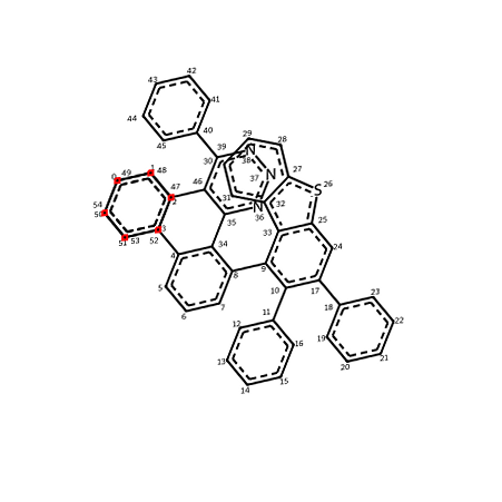 c1ccc(-c2cccc(-c3c(-c4ccccc4)c(-c4ccccc4)cc4sc5ccccc5c34)c2-c2nnnc(-c3ccccc3)c2-c2ccccc2)cc1